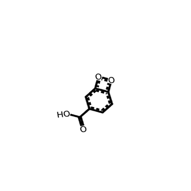 O=C(O)c1ccc2ooc2c1